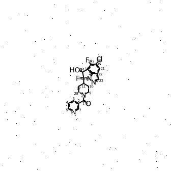 O=C(c1cccnc1)N1CCC(C2(F)C(O)c3c(F)c(Cl)cc4cnn2c34)CC1